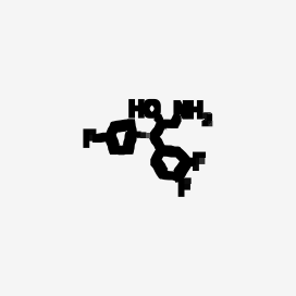 NC[C@H](O)[C@@H](c1ccc(F)cc1)c1ccc(F)c(F)c1